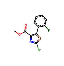 COC(=O)c1nc(Br)sc1-c1ccccc1F